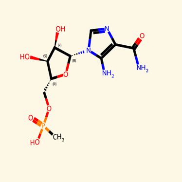 CP(=O)(O)OC[C@H]1O[C@@H](n2cnc(C(N)=O)c2N)[C@H](O)[C@@H]1O